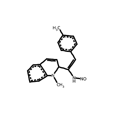 Cc1ccc(/C=C(/NN=O)C2C=Cc3ccccc3N2C)cc1